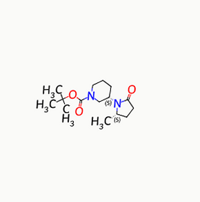 C[C@H]1CCC(=O)N1[C@H]1CCCN(C(=O)OC(C)(C)C)C1